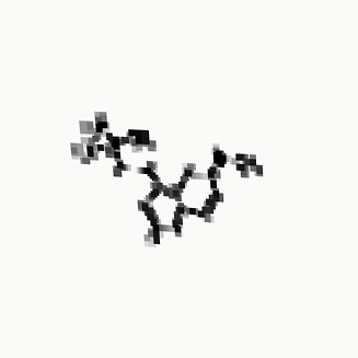 COc1ccc2cccc(CC[N+](C)(C)C)c2c1.[I-]